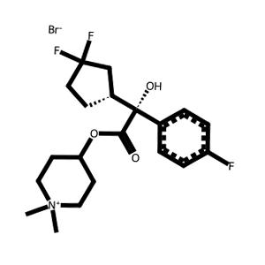 C[N+]1(C)CCC(OC(=O)[C@](O)(c2ccc(F)cc2)[C@@H]2CCC(F)(F)C2)CC1.[Br-]